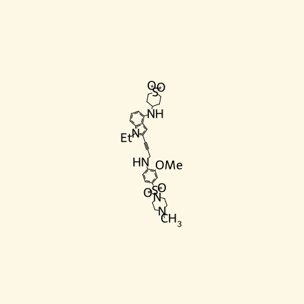 CCn1c(C#CCNc2ccc(S(=O)(=O)N3CCN(C)CC3)cc2OC)cc2c(NC3CCS(=O)(=O)CC3)cccc21